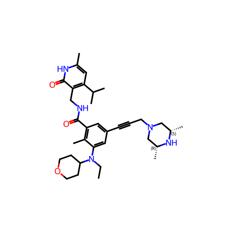 CCN(c1cc(C#CCN2C[C@@H](C)N[C@@H](C)C2)cc(C(=O)NCc2c(C(C)C)cc(C)[nH]c2=O)c1C)C1CCOCC1